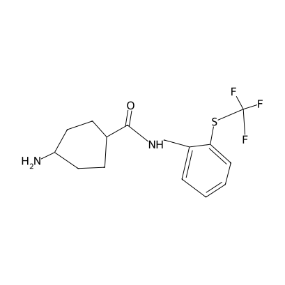 NC1CCC(C(=O)NCc2ccccc2SC(F)(F)F)CC1